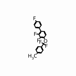 Cc1ccc(C(F)(F)Oc2ccc(-c3ccc(F)cc3)c(F)c2F)cc1